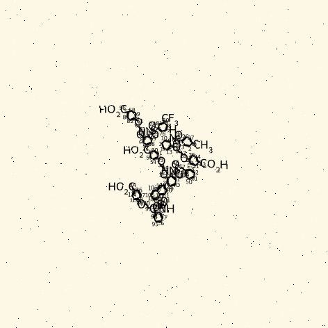 Cc1ccc(S(=O)(=O)Nc2ccccc2OCCOc2ccc(C(=O)O)cc2)cc1.O=C(O)c1ccc(OCCOc2ccccc2NS(=O)(=O)Cc2ccccc2)cc1.O=C(O)c1ccc(OCCOc2ccccc2NS(=O)(=O)c2cccc(C(F)(F)F)c2)cc1.O=C(O)c1ccc(OCCOc2ccccc2NS(=O)(=O)c2cccc3ccccc23)cc1